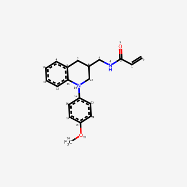 C=CC(=O)NCC1Cc2ccccc2N(c2ccc(OC(F)(F)F)cc2)C1